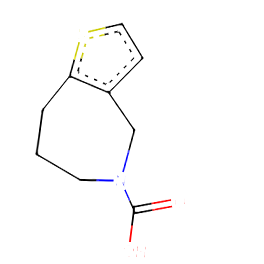 O=C(O)N1CCCc2sccc2C1